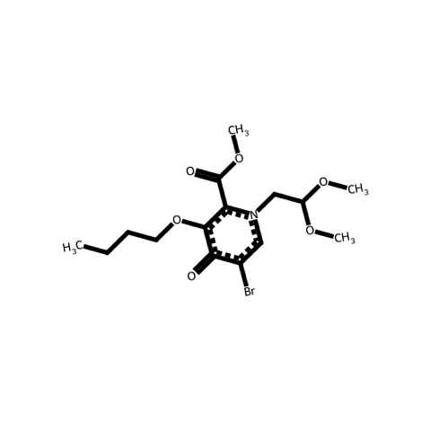 CCCCOc1c(C(=O)OC)n(CC(OC)OC)cc(Br)c1=O